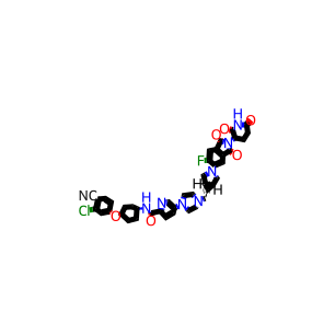 N#Cc1ccc(O[C@H]2CC[C@H](NC(=O)c3ccc(N4CCN(C[C@@H]5[C@H]6CN(c7cc8c(cc7F)C(=O)N(C7CCC(=O)NC7=O)C8=O)C[C@@H]56)CC4)cn3)CC2)cc1Cl